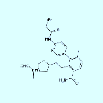 Cc1ccc(C(N)=O)c(CCC2CCCC2)c1-c1ccc(NC(=O)CC(C)C)nc1.O=CNI